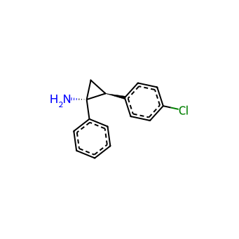 N[C@]1(c2ccccc2)C[C@H]1c1ccc(Cl)cc1